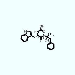 CC(C)(Cc1ccccc1)NC(=O)[C@H](Cc1c[nH]c2ccccc12)NC(=O)O